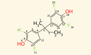 CCC(C)(c1cc(F)c(O)c(F)c1)c1cc(F)c(O)c(F)c1